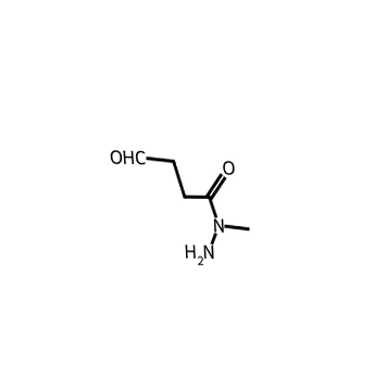 CN(N)C(=O)CCC=O